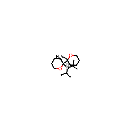 CC(C)[SiH](C(C)C)C1(C2([SiH3])CCCCO2)CCCCO1